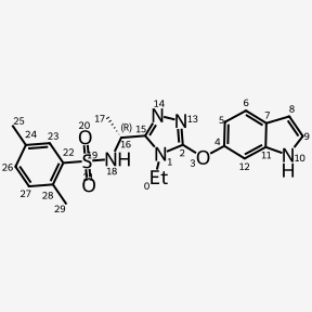 CCn1c(Oc2ccc3cc[nH]c3c2)nnc1[C@@H](C)NS(=O)(=O)c1cc(C)ccc1C